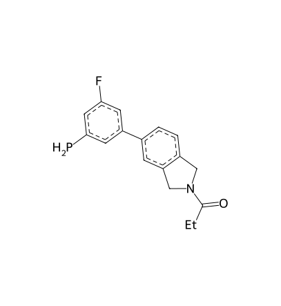 CCC(=O)N1Cc2ccc(-c3cc(F)cc(P)c3)cc2C1